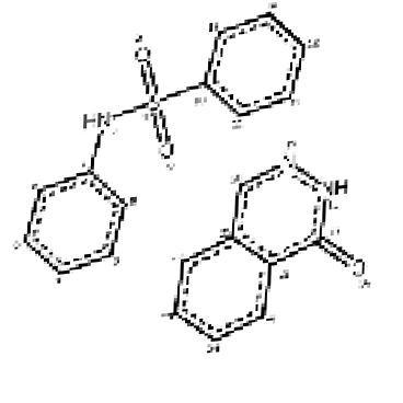 O=S(=O)(Nc1ccccc1)c1ccccc1.O=c1[nH]ncc2ccccc12